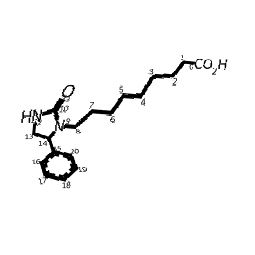 O=C(O)CCCCCCCCN1C(=O)NCC1c1ccccc1